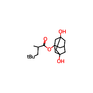 CC(CC(C)(C)C)C(=O)OC12CC3CC(O)(CC(O)(C3)C1)C2